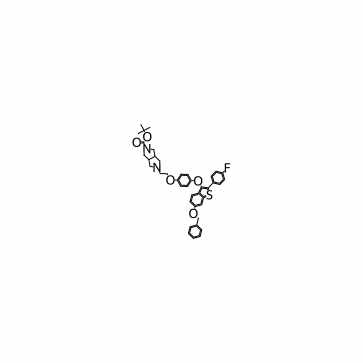 CC(C)(C)OC(=O)N1CC2CN(CCOc3ccc(Oc4c(-c5ccc(F)cc5)sc5cc(OCc6ccccc6)ccc45)cc3)CC2C1